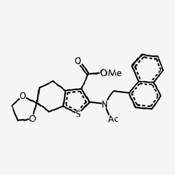 COC(=O)c1c(N(Cc2cccc3ccccc23)C(C)=O)sc2c1CCC1(C2)OCCO1